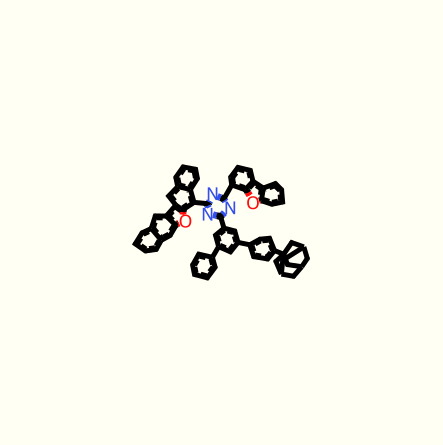 c1ccc(-c2cc(-c3ccc(C45CC6CC(CC(C6)C4)C5)cc3)cc(-c3nc(-c4cccc5c4oc4ccccc45)nc(-c4c5ccccc5cc5c4oc4cc6ccccc6cc45)n3)c2)cc1